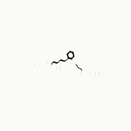 CCCCCCCC[C@@H](O)/C=C/C=C/c1ccccc1OCCCC(=O)O